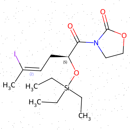 CC[Si](CC)(CC)O[C@@H](C/C=C(/C)I)C(=O)N1CCOC1=O